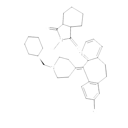 O=C1C2CCCCC2C(=O)N1C[C@H]1CCCC[C@@H]1CN1CCC(=C2c3ccc(Cl)cc3CCc3cccnc32)CC1